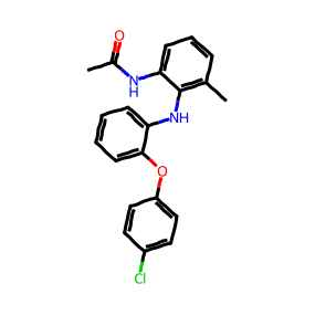 CC(=O)Nc1cccc(C)c1Nc1ccccc1Oc1ccc(Cl)cc1